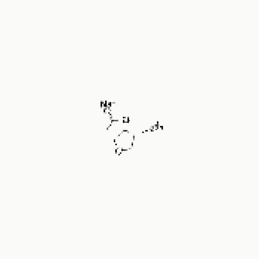 C1CCOC1.CC#N.CC(=O)[O-].[Na+]